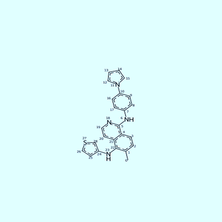 Cc1ccc2c(Nc3ccc(-n4cccc4)cc3)nccc2c1Nc1ccsc1